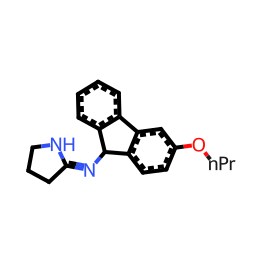 CCCOc1ccc2c(c1)-c1ccccc1C2N=C1CCCN1